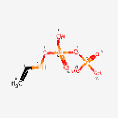 C=CPOP(=O)(O)OP(=O)(O)O